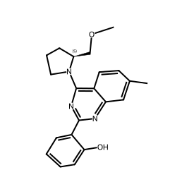 COC[C@@H]1CCCN1c1nc(-c2ccccc2O)nc2cc(C)ccc12